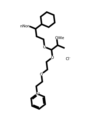 CCCCCCCCCC(CCOC(OCCOCC[n+]1ccccc1)C(C)OC)C1CCCCC1.[Cl-]